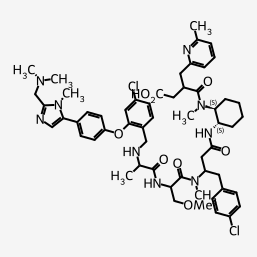 COCC(NC(=O)C(C)NCc1ccc(Cl)cc1Oc1ccc(-c2cnc(CN(C)C)n2C)cc1)C(=O)N(C)C(CC(=O)N[C@H]1CCCC[C@@H]1N(C)C(=O)C(CC(=O)O)Cc1cccc(C)n1)Cc1ccc(Cl)cc1